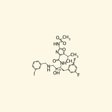 CC(C)c1oc(NS(C)(=O)=O)nc1C(=O)N[C@@H](Cc1cc(F)cc(F)c1)[C@H](O)CNCc1cccc(I)c1